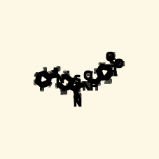 CC(c1ccccc1)N1CCc2c(sc(NC(=O)Cc3ccc([SH](=O)=O)cc3)c2C#N)C1